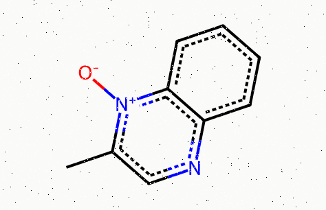 Cc1cnc2ccccc2[n+]1[O-]